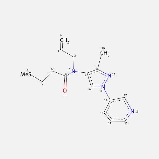 C=CCN(C(=O)CCSC)c1cn(-c2cccnc2)nc1C